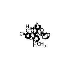 Cc1c(Cl)cccc1Nc1c(-c2ccncc2OCC2COCCO2)[nH]c2c1C(=O)N[C@H](C)C2